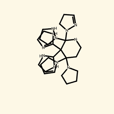 C1=CN(C2(N3CCCC3)CC[N]C(N3CCC=N3)(N3CCCN3)C2(C2=NCCN2)C2NCCN2)CC1